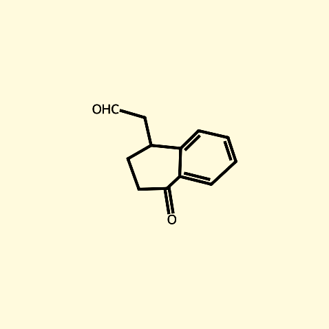 O=CCC1CCC(=O)c2ccccc21